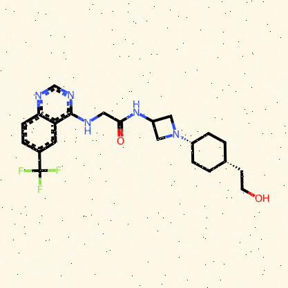 O=C(CNc1ncnc2ccc(C(F)(F)F)cc12)NC1CN([C@H]2CC[C@@H](CCO)CC2)C1